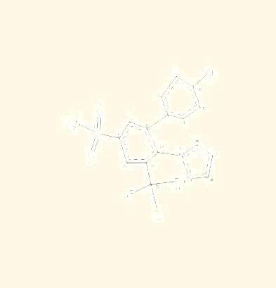 NS(=O)(=O)c1cc(-c2ccc(Cl)cc2)c(-n2cccn2)c(C(F)(F)F)c1